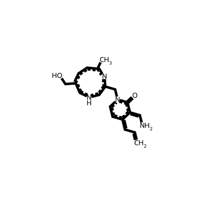 C=C/C=c1/ccn(Cc2c[nH]cc(CO)ccc(C)n2)c(=O)/c1=C/N